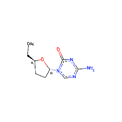 CC(=O)OC[C@@H]1CC[C@@H](n2cnc(N)nc2=O)O1